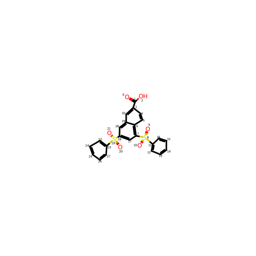 O=C(O)c1ccc2c(S(=O)(=O)c3ccccc3)cc(S(=O)(=O)c3ccccc3)cc2c1